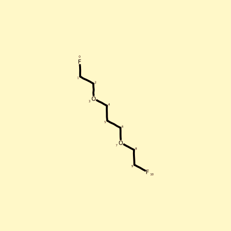 FCCOCCCOCCF